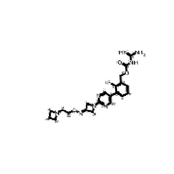 N=C(N)NC(=O)OCc1cccc(-c2cnc(N3CC(=NOCCN4CCC4)C3)nc2)c1F